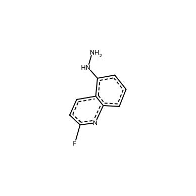 NNc1cccc2nc(F)ccc12